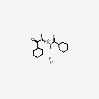 C[N]([Hf+2][N](C)C(=O)C1CCCCC1)C(=O)C1CCCCC1.[F-].[F-]